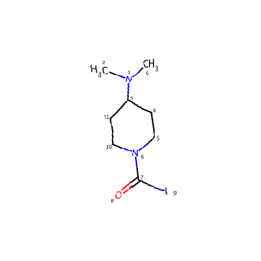 CN(C)C1CCN(C(=O)I)CC1